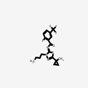 CCCCn1nc(C2(C)CC2)sc1=NC(=O)c1cc(C(F)(F)F)ccc1F